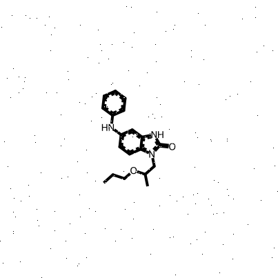 CCCOC(C)Cn1c(=O)[nH]c2cc(Nc3ccccc3)ccc21